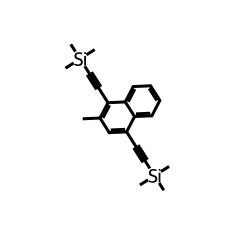 Cc1cc(C#C[Si](C)(C)C)c2ccccc2c1C#C[Si](C)(C)C